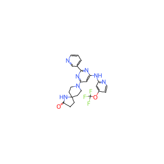 O=C1CCC2(CCN(c3cc(Nc4cc(OC(F)(F)F)ccn4)nc(-c4cccnc4)n3)CC2)N1